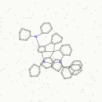 c1ccc(-c2ccc(N(c3ccccc3)c3ccc(N(c4ccccc4)c4ccccc4)c4c3C3(c5ccccc5-4)c4ccccc4N(c4cccc5ccccc45)c4ccccc43)cc2)cc1